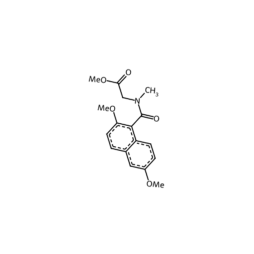 COC(=O)CN(C)C(=O)c1c(OC)ccc2cc(OC)ccc12